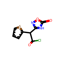 O=C(Cl)C(c1noc(=O)[nH]1)c1cccs1